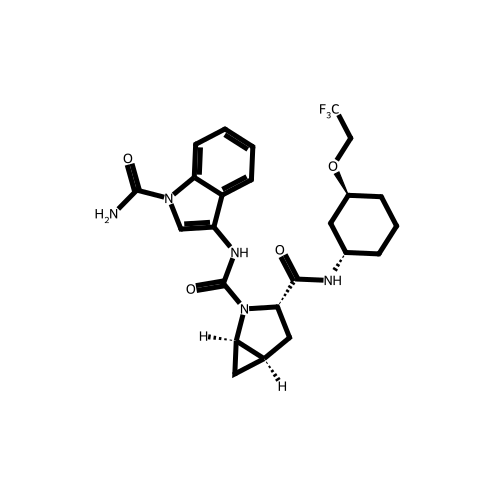 NC(=O)n1cc(NC(=O)N2[C@@H]3C[C@@H]3C[C@H]2C(=O)N[C@H]2CCC[C@H](OCC(F)(F)F)C2)c2ccccc21